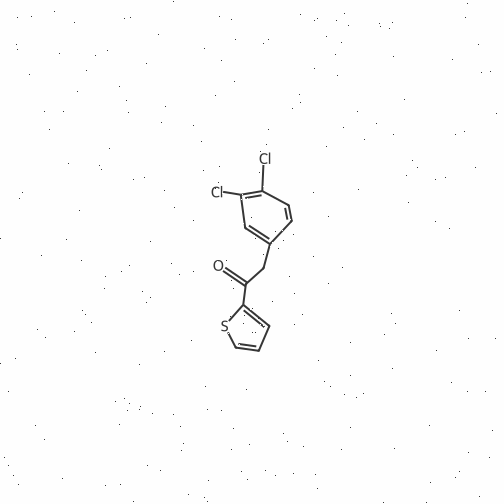 O=C(Cc1ccc(Cl)c(Cl)c1)c1cccs1